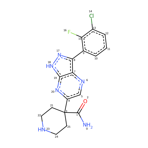 NC(=O)C1(c2cnc3c(-c4cccc(Cl)c4F)n[nH]c3n2)CCNCC1